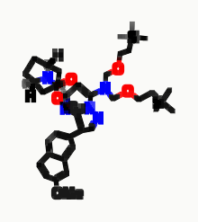 COc1ccc2ccc(-c3cnn4c(N(COCC[Si](C)(C)C)COCC[Si](C)(C)C)cc([C@H]5C[C@H]6CC[C@@H](C5)N6C(=O)OC(C)(C)C)nc34)cc2c1